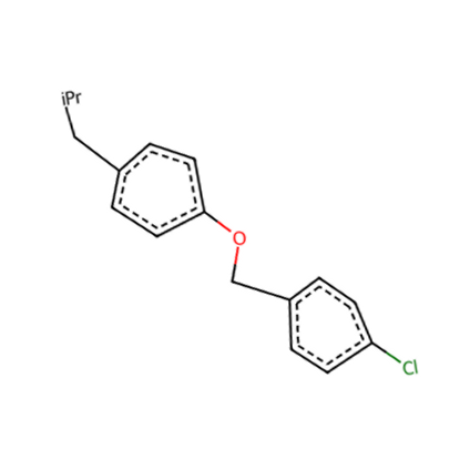 CC(C)Cc1ccc(OCc2ccc(Cl)cc2)cc1